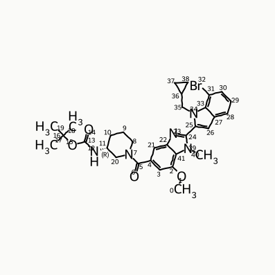 COc1cc(C(=O)N2CCC[C@@H](NC(=O)OC(C)(C)C)C2)cc2nc(-c3cc4cccc(Br)c4n3CC3CC3)n(C)c12